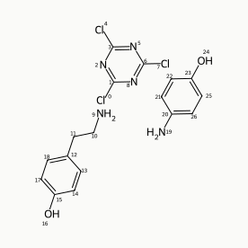 Clc1nc(Cl)nc(Cl)n1.NCCc1ccc(O)cc1.Nc1ccc(O)cc1